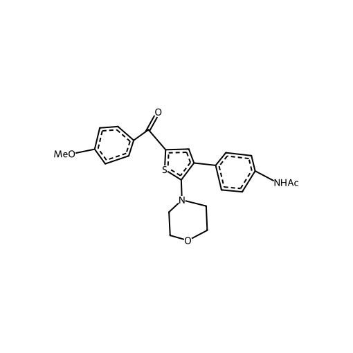 COc1ccc(C(=O)c2cc(-c3ccc(NC(C)=O)cc3)c(N3CCOCC3)s2)cc1